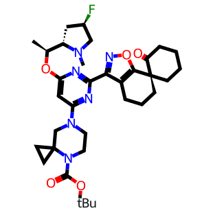 C[C@H](Oc1cc(N2CCN(C(=O)OC(C)(C)C)C3(CC3)C2)nc(-c2noc3c2CCC[C@@]32CCCCC2=O)n1)[C@@H]1C[C@@H](F)CN1C